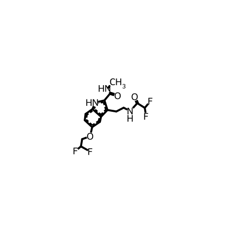 CNC(=O)c1[nH]c2ccc(OCC(F)F)cc2c1CCNC(=O)C(F)F